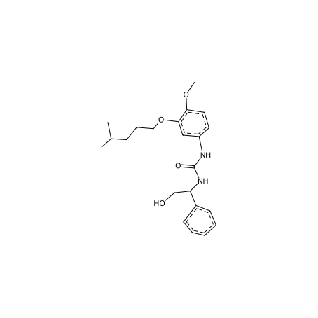 COc1ccc(NC(=O)NC(CO)c2ccccc2)cc1OCCCC(C)C